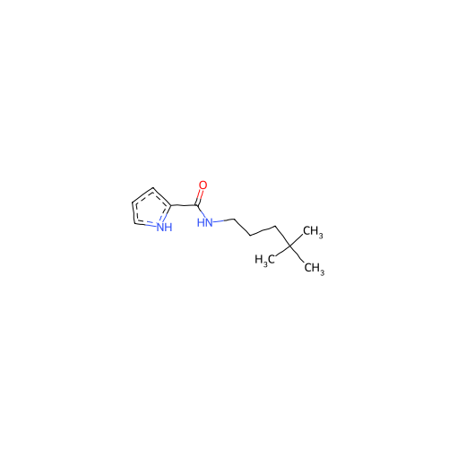 CC(C)(C)CCCNC(=O)c1ccc[nH]1